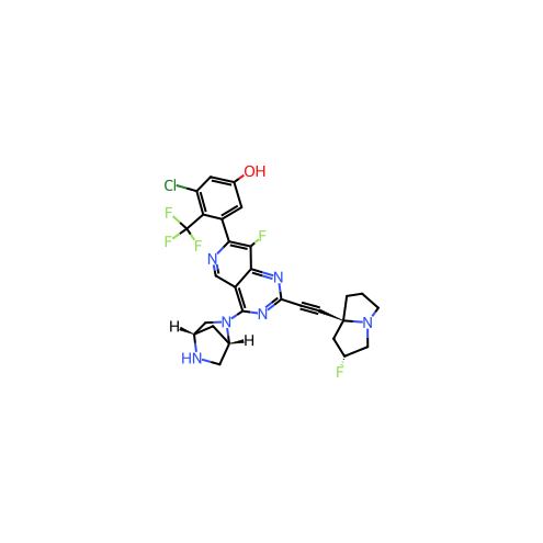 Oc1cc(Cl)c(C(F)(F)F)c(-c2ncc3c(N4C[C@@H]5C[C@H]4CN5)nc(C#C[C@@]45CCCN4C[C@H](F)C5)nc3c2F)c1